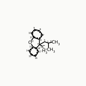 CC(C)CC1(C)c2ccccc2Oc2ccccc21